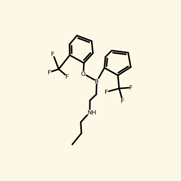 CCCNCCB(Oc1ccccc1C(F)(F)F)c1ccccc1C(F)(F)F